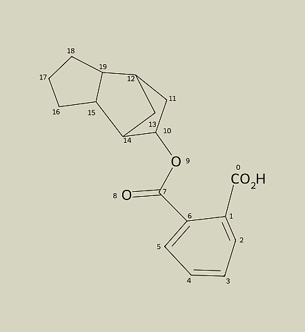 O=C(O)c1ccccc1C(=O)OC1CC2CC1C1CCCC21